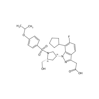 CC(C)Oc1ccc(S(=O)(=O)N2C[C@H](n3nc(CC(=O)O)c4ccc(F)c(C5CCCC5)c43)C[C@@H]2CO)cc1